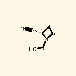 N#C[C@@H]1CCN1CO